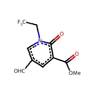 COC(=O)c1cc(C=O)cn(CC(F)(F)F)c1=O